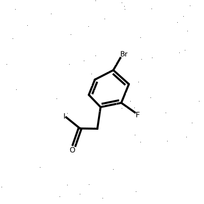 O=C(I)Cc1ccc(Br)cc1F